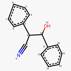 N#CC(c1ccccc1)C(O)c1ccccc1